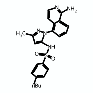 CCCCc1ccc(S(=O)(=O)Nc2cc(C)nn2-c2cccc3c(N)nccc23)cc1